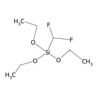 CCO[Si](OCC)(OCC)C(F)F